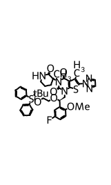 COc1ccc(F)cc1[C@H](Cn1c(=O)n(C2(C)CCCNC2=O)c(=O)c2c(C)c(-n3nccn3)sc21)OCCO[Si](c1ccccc1)(c1ccccc1)C(C)(C)C